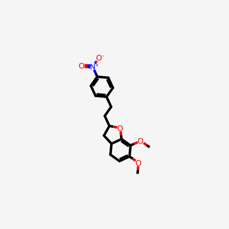 COC1=CCC2CC(CCc3ccc([N+](=O)[O-])cc3)OC2=C1OC